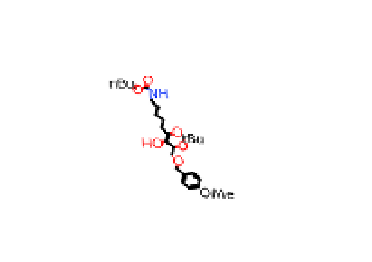 CCCCOC(=O)NCCCCCC(=O)C(O)C(COCc1ccc(OC)cc1)OC(C)(C)C